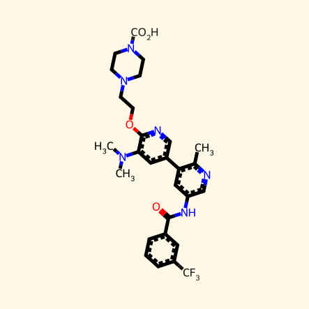 Cc1ncc(NC(=O)c2cccc(C(F)(F)F)c2)cc1-c1cnc(OCCN2CCN(C(=O)O)CC2)c(N(C)C)c1